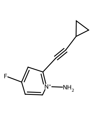 N[n+]1ccc(F)cc1C#CC1CC1